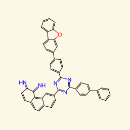 N=C1C=Cc2ccc3ccc(-c4nc(-c5ccc(-c6ccccc6)cc5)nc(-c5ccc(-c6ccc7c(c6)oc6ccccc67)cc5)n4)cc3c2C1=N